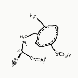 CC(C)(C)[C@@H](N)C(=O)O.Cc1ccc(S(=O)(=O)O)cc1C